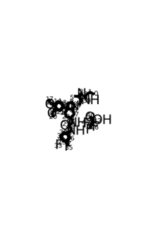 CCc1nc(C)c(CN2CCC3(c4ccc(OC)c(OC)c4)CCC(NC(=O)Nc4ccc(F)c(F)c4)CC23)[nH]1.O=C(O)C(F)(F)F